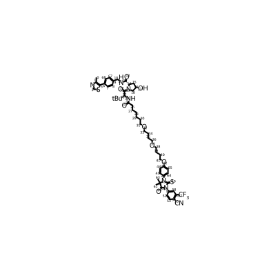 Cc1ncsc1-c1ccc(CNC(=O)[C@@H]2C[C@@H](O)CN2C(=O)[C@@H](NC(=O)CCCCCCOCCCCOCCCCOc2ccc(N3C(=S)N(c4ccc(C#N)c(C(F)(F)F)c4)C(=O)C3(C)C)cc2)C(C)(C)C)cc1